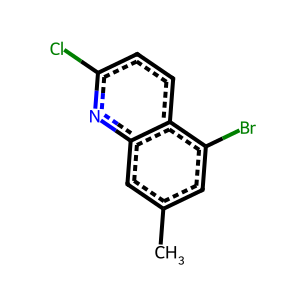 Cc1cc(Br)c2ccc(Cl)nc2c1